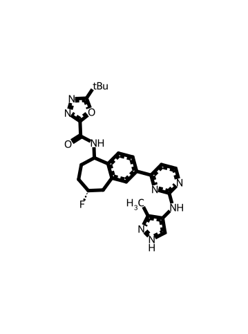 Cc1n[nH]cc1Nc1nccc(-c2ccc3c(c2)C[C@H](F)CCC3NC(=O)c2nnc(C(C)(C)C)o2)n1